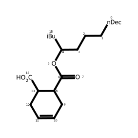 CCCCCCCCCCCCCC(OC(=O)C1CC=CCC1C(=O)O)C(C)CC